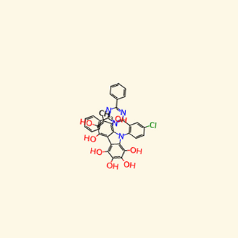 Cc1c(O)c(O)c2c3c(O)c(O)c(O)c(O)c3n(-c3ccc(Cl)cc3-c3nc(-c4ccccc4)nc(-c4ccccc4)n3)c2c1O